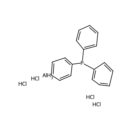 Cl.Cl.Cl.Cl.[AlH3].c1ccc(P(c2ccccc2)c2ccccc2)cc1